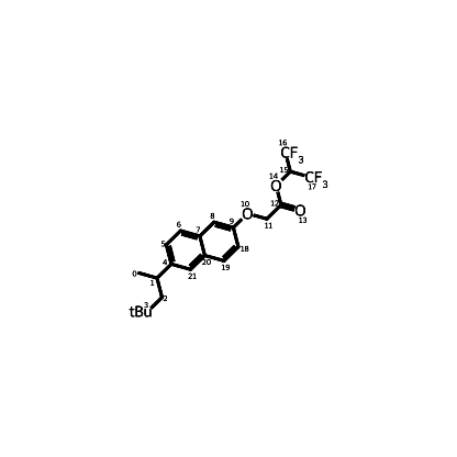 CC(CC(C)(C)C)c1ccc2cc(OCC(=O)OC(C(F)(F)F)C(F)(F)F)ccc2c1